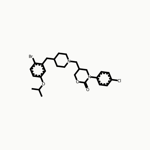 CC(C)Oc1ccc(Br)c(CC2CCN(CC3COC(=O)N(c4ccc(Cl)cc4)C3)CC2)c1